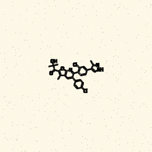 Cc1n[nH]cc1-c1ccc(-c2nc3oc(C(=O)C(C)(C)O)c(C)c3cc2-c2ccc(Cl)cc2)c(Cl)c1